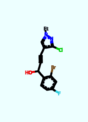 CCn1cc(C#CC(O)c2ccc(F)cc2Br)c(Cl)n1